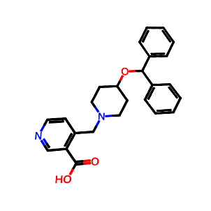 O=C(O)c1cnccc1CN1CCC(OC(c2ccccc2)c2ccccc2)CC1